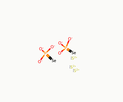 [O-]P([O-])([O-])=[Se].[O-]P([O-])([O-])=[Se].[S+2].[S+2].[S+2]